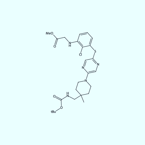 COC(=O)CNc1cccc(Sc2cnc(N3CCC(C)(CNC(=O)OC(C)(C)C)CC3)cn2)c1Cl